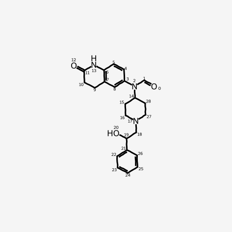 O=CN(c1ccc2c(c1)CCC(=O)N2)C1CCN(CC(O)c2ccccc2)CC1